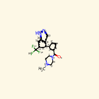 CN1CCN(C(=O)c2cccc(-c3cc(C(F)(F)F)cc4[nH]ncc34)c2)CC1